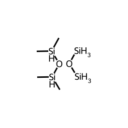 C[SiH](C)O[SiH](C)C.[SiH3]O[SiH3]